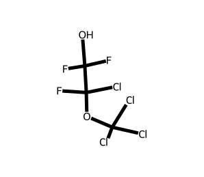 OC(F)(F)C(F)(Cl)OC(Cl)(Cl)Cl